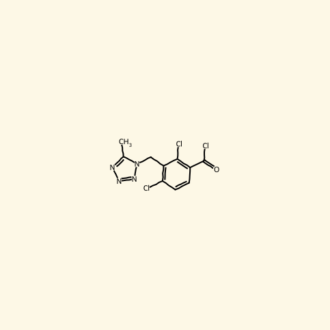 Cc1nnnn1Cc1c(Cl)ccc(C(=O)Cl)c1Cl